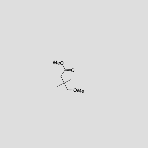 COCC(C)(C)CC(=O)OC